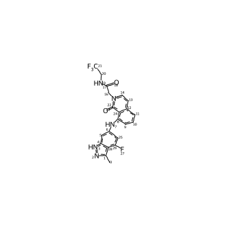 Cc1n[nH]c2cc(Nc3cccc4ccn(CC(=O)NCC(F)(F)F)c(=O)c34)cc(F)c12